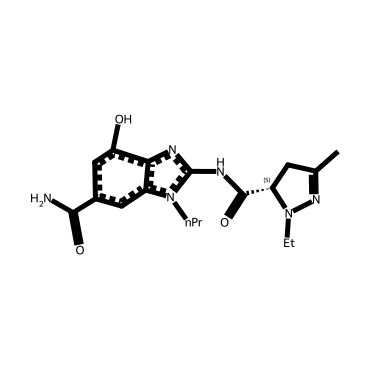 CCCn1c(NC(=O)[C@@H]2CC(C)=NN2CC)nc2c(O)cc(C(N)=O)cc21